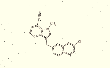 Cc1cn(Cc2ccc3ncc(Cl)cc3c2)c2cncc(C#N)c12